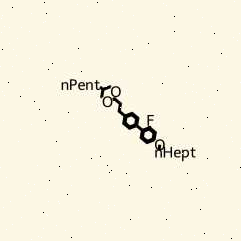 CCCCCCCOc1ccc(-c2ccc(CCC3OCC(CCCCC)CO3)cc2)c(F)c1